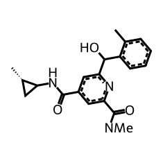 CNC(=O)c1cc(C(=O)NC2C[C@@H]2C)cc(C(O)c2ccccc2C)n1